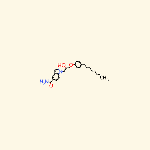 CCCCCCCCc1ccc(OCC(O)Cn2ccc3cc(C(N)=O)ccc32)cc1